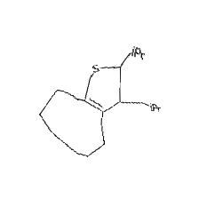 CC(C)C1SC2=C(CCCCC2)C1C(C)C